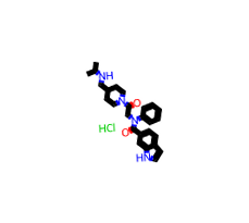 CC(C)NCC1CCN(C(=O)CN(C(=O)c2ccc3cc[nH]c3c2)c2ccccc2)CC1.Cl